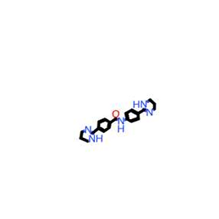 O=C(Nc1ccc(C2=NCCCN2)cc1)c1ccc(C2=NCCCN2)cc1